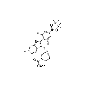 COC(=O)N1CCO[C@@H](Cc2c(-c3c(F)cc(B4OC(C)(C)C(C)(C)O4)cc3F)nc3cc(C)ccn23)C1